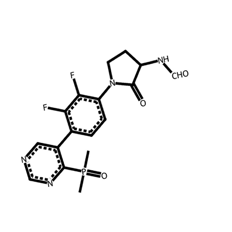 CP(C)(=O)c1ncncc1-c1ccc(N2CCC(NC=O)C2=O)c(F)c1F